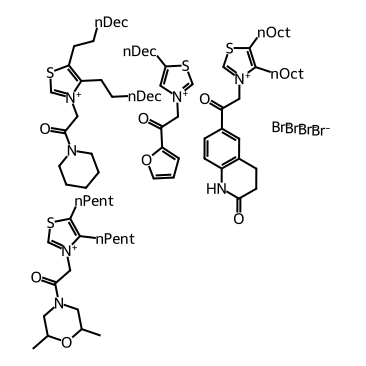 CCCCCCCCCCCCc1sc[n+](CC(=O)N2CCCCC2)c1CCCCCCCCCCCC.CCCCCCCCCCc1c[n+](CC(=O)c2ccco2)cs1.CCCCCCCCc1sc[n+](CC(=O)c2ccc3c(c2)CCC(=O)N3)c1CCCCCCCC.CCCCCc1sc[n+](CC(=O)N2CC(C)OC(C)C2)c1CCCCC.[Br-].[Br-].[Br-].[Br-]